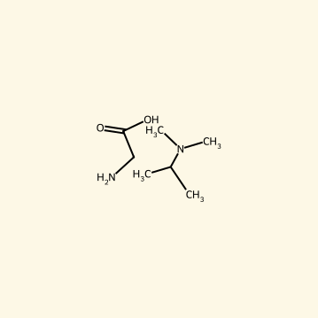 CC(C)N(C)C.NCC(=O)O